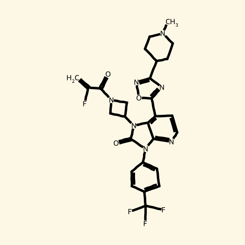 C=C(F)C(=O)N1CC(n2c(=O)n(-c3ccc(C(F)(F)F)cc3)c3nccc(-c4nc(C5CCN(C)CC5)no4)c32)C1